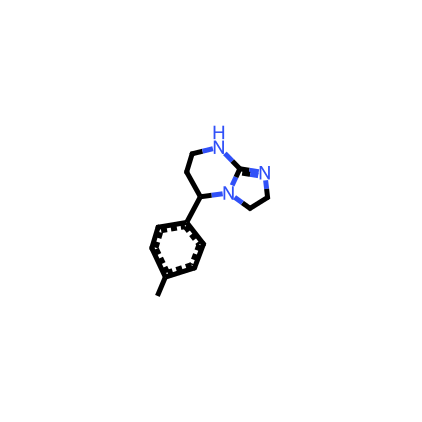 Cc1ccc(C2CCNC3=NCCN32)cc1